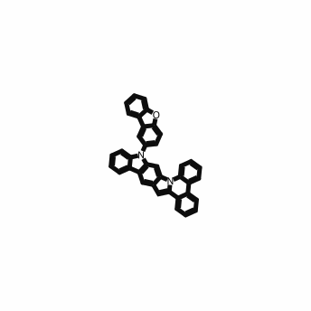 c1ccc2c(c1)oc1ccc(-n3c4ccccc4c4cc5cc6c7ccccc7c7ccccc7n6c5cc43)cc12